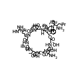 CC[C@H](C)[C@@H]1NC(=O)[C@@H](CCCNC(=N)N)NC(=O)[C@H](CC(C)C)NC(=O)[C@H]([C@H](O)C(C)C)NC(=O)[C@@H](NC(=O)[C@H](CC(C)(C)C)NC(=O)[C@H](N)CC(C)C)[C@@H](c2ccccc2)OC(=O)[C@H](CO)NC(=O)[C@H]([C@H](O)C(N)=O)NC(=O)CNC(=O)[C@H]([C@H](C)O)NC1=O